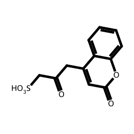 O=C(Cc1cc(=O)oc2ccccc12)CS(=O)(=O)O